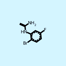 C=C(N)Nc1cc(F)ccc1Br